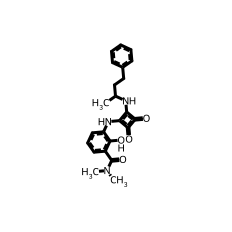 CC(CCc1ccccc1)Nc1c(Nc2cccc(C(=O)N(C)C)c2O)c(=O)c1=O